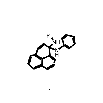 CC(C)NC1(Nc2ccccc2)C=Cc2cccc3cccc1c23